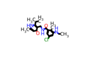 CCNc1cc(Cl)cc(C(=O)NCc2c(C(C)C)[nH]c(C)cc2=O)c1C